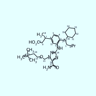 CC(C)CN(c1ccc(C(C)CC(=O)O)cc1Nc1nc(C(N)=O)n(COCC[Si](C)(C)C)n1)C1CCCCC1